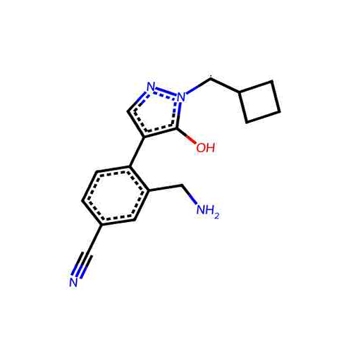 N#Cc1ccc(-c2cnn([CH]C3CCC3)c2O)c(CN)c1